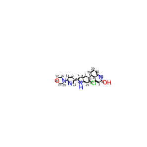 Oc1c#cc2c(-c3cc4cc(-c5ccc(N6CCOCC6)nc5)[nH]c4cc3Cl)cccc2n1